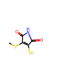 CSC1=C(S)C(=O)NC1=O